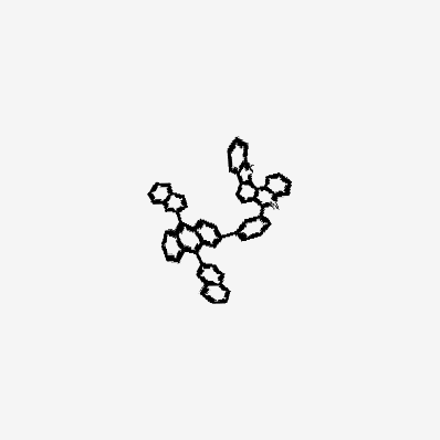 c1cc(-c2ccc3c(-c4ccc5ccccc5c4)c4ccccc4c(-c4ccc5ccccc5c4)c3c2)cc(-c2nc3ccccc3c3c2ccc2c4ccccc4sc23)c1